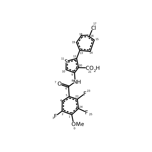 COc1c(F)cc(C(=O)Nc2csc(-c3ccc(Cl)cc3)c2C(=O)O)c(F)c1F